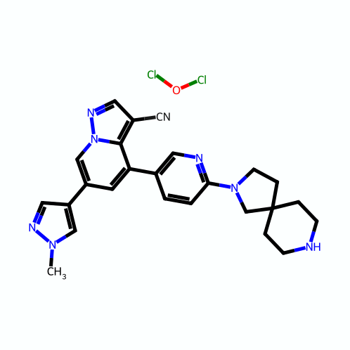 ClOCl.Cn1cc(-c2cc(-c3ccc(N4CCC5(CCNCC5)C4)nc3)c3c(C#N)cnn3c2)cn1